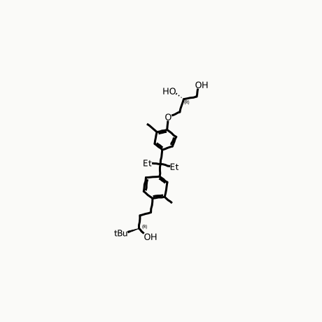 CCC(CC)(c1ccc(CC[C@@H](O)C(C)(C)C)c(C)c1)c1ccc(OC[C@H](O)CO)c(C)c1